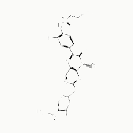 CC(C)n1c(=O)c(-c2ccc(NS(=O)(=O)CCC(F)(F)F)c(F)c2)nc2cnc(NC3CCC(N(C)C)C(F)C3)nc21.Cl